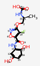 C[C@@H](COc1noc(C(=O)Nc2cc(O)ccc2O)c1F)NC(=O)O